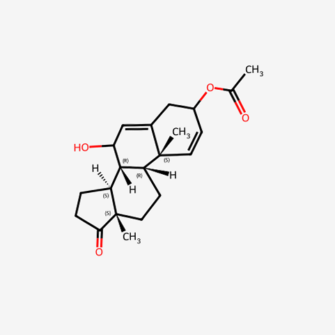 CC(=O)OC1C=C[C@@]2(C)C(=CC(O)[C@@H]3[C@H]2CC[C@]2(C)C(=O)CC[C@@H]32)C1